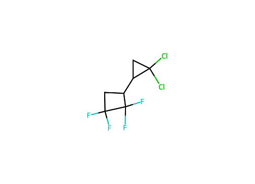 FC1(F)CC(C2CC2(Cl)Cl)C1(F)F